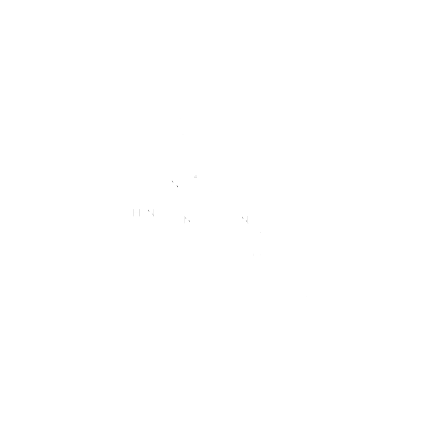 CC1(C)CCC(OC(=O)N2CCc3c(nc(N)n(C(c4ccccc4)c4ccccc4)c3=O)C2)CC1